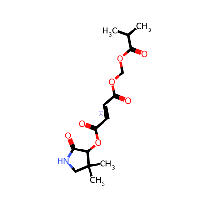 CC(C)C(=O)OCOC(=O)/C=C/C(=O)OC1C(=O)NCC1(C)C